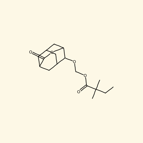 CCC(C)(C)C(=O)OCOC1C2CC3CC(C2)C(=O)OC1C3